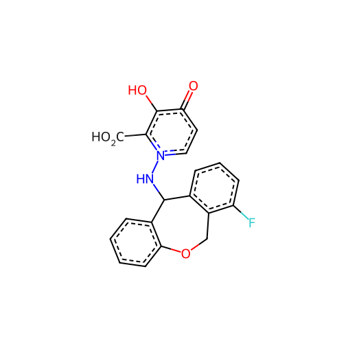 O=C(O)c1c(O)c(=O)ccn1NC1c2ccccc2OCc2c(F)cccc21